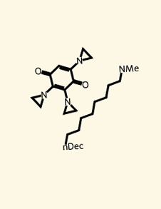 CCCCCCCCCCCCCCCCCCNC.O=C1C=C(N2CC2)C(=O)C(N2CC2)=C1N1CC1